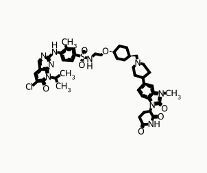 Cc1cc(S(=O)(=O)NCCO[C@H]2CC[C@H](CN3CCC(c4ccc5c(c4)n(C)c(=O)n5C4CCC(=O)NC4=O)CC3)CC2)ccc1Nc1ncc2cc(Cl)c(=O)n(C(C)C)c2n1